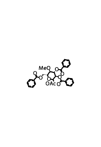 CO[C@H]1[C@H](OC(=O)c2ccccc2)[C@@H](OC(=O)c2ccccc2)C(OC(C)=O)O[C@@H]1COC(=O)c1ccccc1